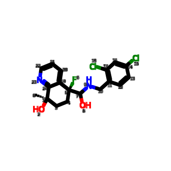 C[C@@]1(O)CC[C@@](F)(C(O)NCc2ccc(Cl)cc2Cl)c2cccnc21